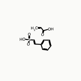 C=CC(=O)O.O=S(=O)(O)C=Cc1ccccc1